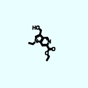 CCOC(=O)c1cc2c(cn1)c(CO)cn2CC